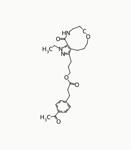 CCn1nc(CCCOC(=O)CCc2ccc(C(C)=O)cc2)c2c1C(=O)NCCCOCCC2